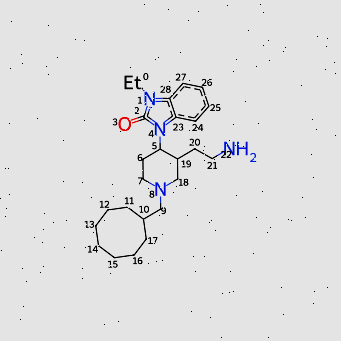 CCn1c(=O)n(C2CCN(CC3CCCCCCC3)CC2CCN)c2ccccc21